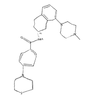 CN1CCN(c2cccc3c2C[C@H](NC(=O)c2ccc(N4CCSCC4)cc2)CC3)CC1